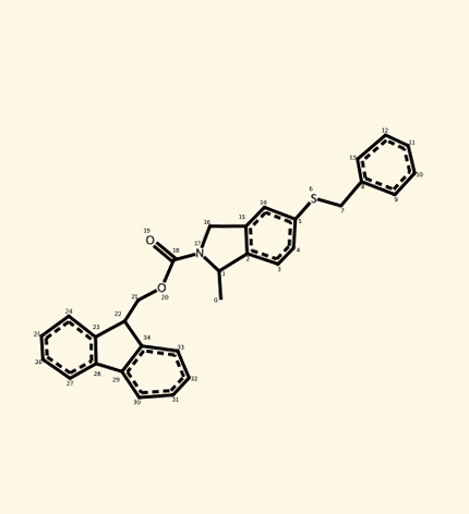 CC1c2ccc(SCc3ccccc3)cc2CN1C(=O)OCC1c2ccccc2-c2ccccc21